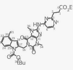 CCOC(=O)CCc1nccc(Nc2nc3c(c(=O)n(Cc4cc5c(C)cccc5n4C(=O)OC(C)(C)C)c(=O)n3C)n2C)n1